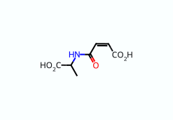 CC(NC(=O)/C=C\C(=O)O)C(=O)O